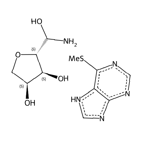 CSc1ncnc2nc[nH]c12.NC(O)[C@H]1OC[C@H](O)[C@@H]1O